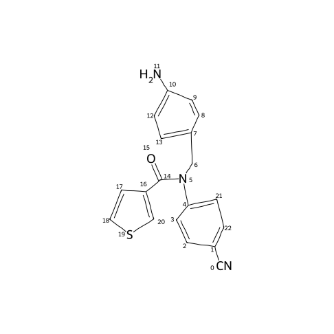 N#Cc1ccc(N(Cc2ccc(N)cc2)C(=O)c2ccsc2)cc1